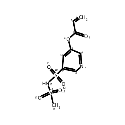 C=CC(=O)Oc1cncc(S(=O)(=O)NS(C)(=O)=O)c1